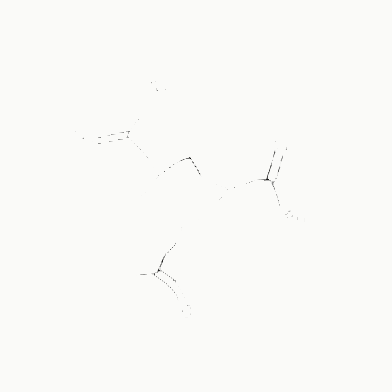 CC(C)(C)C(=O)C1CC(C(=O)C(C)(C)C)CC(C(=O)C(C)(C)C)C1